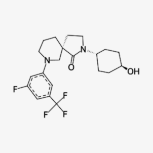 O=C1N([C@H]2CC[C@H](O)CC2)CC[C@]12CCCN(c1cc(F)cc(C(F)(F)F)c1)C2